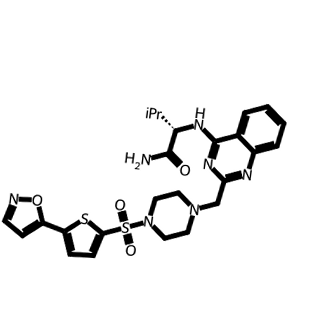 CC(C)[C@H](Nc1nc(CN2CCN(S(=O)(=O)c3ccc(-c4ccno4)s3)CC2)nc2ccccc12)C(N)=O